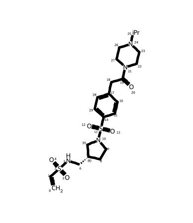 C=CS(=O)(=O)NC[C@H]1CCN(S(=O)(=O)c2ccc(CC(=O)N3CCN(C(C)C)CC3)cc2)C1